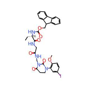 CC[C@H](NC(=O)OCC1c2ccccc2-c2ccccc21)C(=O)NCC(=O)NCN1C(=O)CCN(c2cc(I)ccc2OC)C1=O